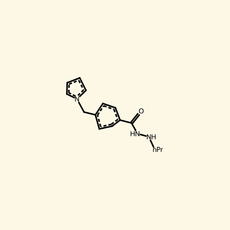 CCCNNC(=O)c1ccc(Cn2cccc2)cc1